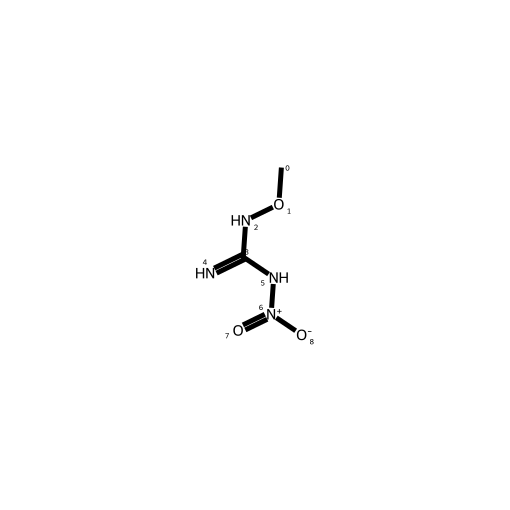 CONC(=N)N[N+](=O)[O-]